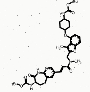 Cc1c(CN(C)C(=O)/C=C/c2cnc3c(c2)CC[C@@H](NC(=O)OC(C)(C)C)C(=O)N3)oc2cccc(OC3CCC(NC(=O)OC(C)(C)C)CC3)c12